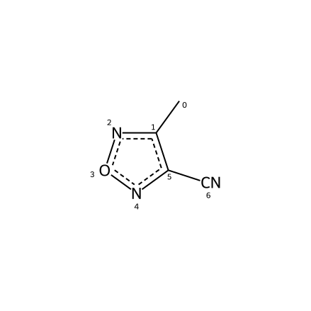 Cc1nonc1C#N